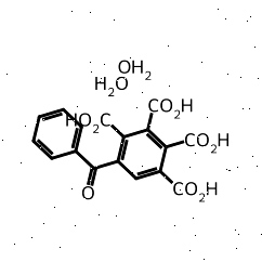 O.O.O=C(O)c1cc(C(=O)c2ccccc2)c(C(=O)O)c(C(=O)O)c1C(=O)O